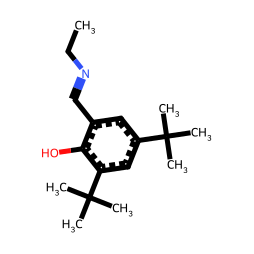 CCN=Cc1cc(C(C)(C)C)cc(C(C)(C)C)c1O